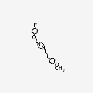 COc1ccc(CCCCN2CCN(CCOc3ccc(F)cc3)CC2)cc1